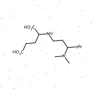 CCCC(CCNC(CCC(=O)O)C(=O)O)N(C)C